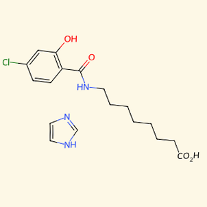 O=C(O)CCCCCCCNC(=O)c1ccc(Cl)cc1O.c1c[nH]cn1